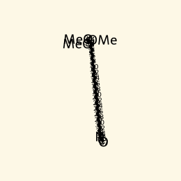 CO[Si](CCCCCCCCCCCCCCCCCCCCCCCCCCCCCCCCCN=C=O)(OC)OC